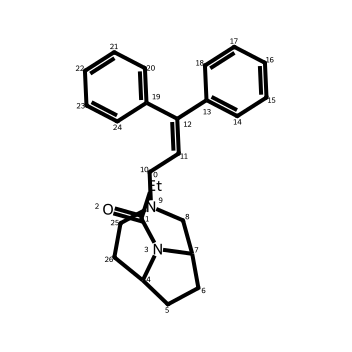 CCC(=O)N1C2CCC1CN(CC=C(c1ccccc1)c1ccccc1)CC2